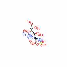 N[C@](C=O)(NS(=O)(=O)O)[C@@H](O)[C@@H](O)[C@H](O)CO